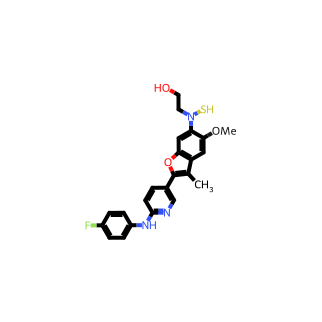 COc1cc2c(C)c(-c3ccc(Nc4ccc(F)cc4)nc3)oc2cc1N(S)CCO